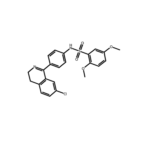 COc1ccc(OC)c(S(=O)(=O)Nc2ccc(C3=NCCc4ccc(Cl)cc43)cc2)c1